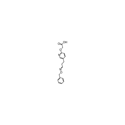 O=C(O)COc1ccc(CCC=NOCc2ccccc2)cn1